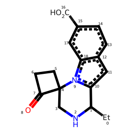 CCC1NCC2(CCC2=O)n2c1cc1ccc(C(=O)O)cc12